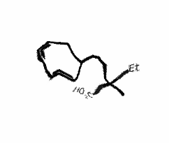 CCC(C)(CC1C=CC=CC1)C(=O)O